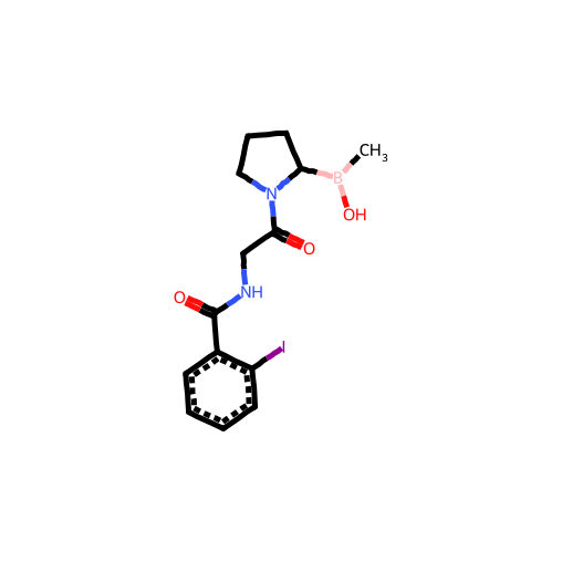 CB(O)C1CCCN1C(=O)CNC(=O)c1ccccc1I